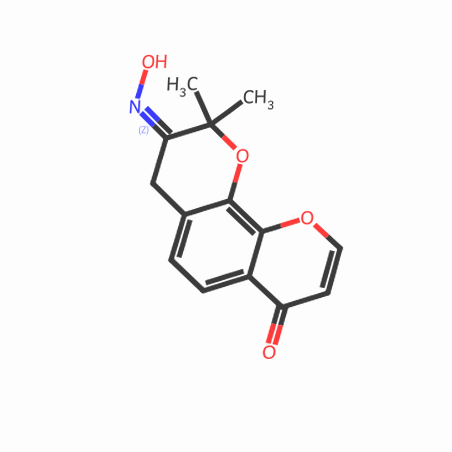 CC1(C)Oc2c(ccc3c(=O)ccoc23)C/C1=N/O